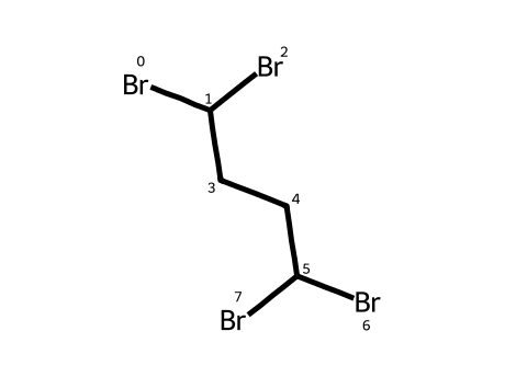 BrC(Br)CCC(Br)Br